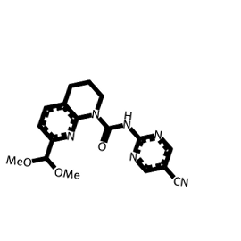 COC(OC)c1ccc2c(n1)N(C(=O)Nc1ncc(C#N)cn1)CCC2